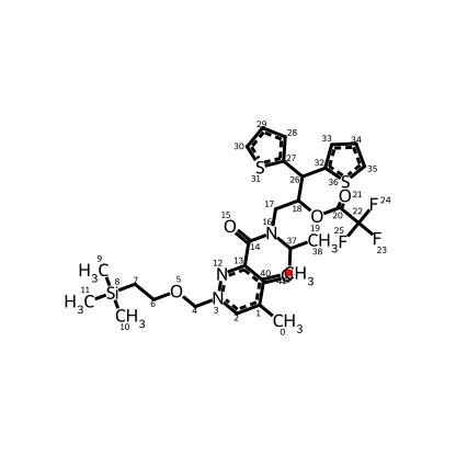 Cc1cn(COCC[Si](C)(C)C)nc(C(=O)N(CC(OC(=O)C(F)(F)F)C(c2cccs2)c2cccs2)C(C)C)c1=O